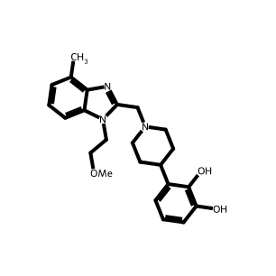 COCCn1c(CN2CCC(c3cccc(O)c3O)CC2)nc2c(C)cccc21